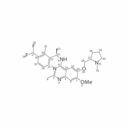 COc1cc2nc(C)nc(N[C@H](C)c3cccc(C(F)F)c3C)c2cc1OCC1CCCN1C